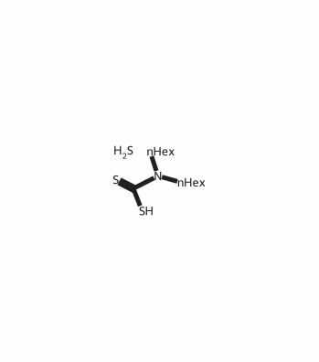 CCCCCCN(CCCCCC)C(=S)S.S